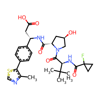 Cc1ncsc1-c1ccc([C@H](CC(=O)O)NC(=O)[C@@H]2C[C@@H](O)CN2C(=O)[C@@H](NC(=O)C2(F)CC2)C(C)(C)C)cc1